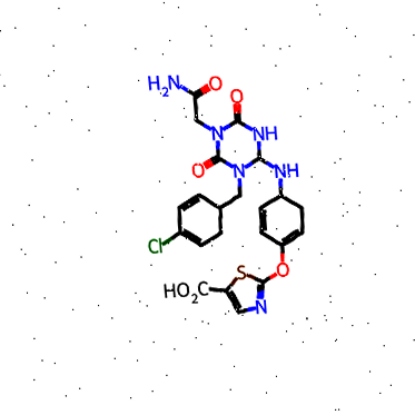 NC(=O)CN1C(=O)NC(NC2C=CC(Oc3ncc(C(=O)O)s3)=CC2)N(CC2C=CC(Cl)=CC2)C1=O